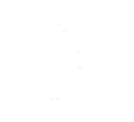 CCCN1CCC(NC(=O)Nc2ccc(NC)cc2)CC1